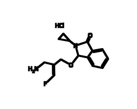 Cl.NCC(=CF)COC1c2ccccc2C(=O)N1C1CC1